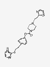 O=C(Oc1ccc(CCSc2ncc[nH]2)cc1)N1CCN(CCc2nccs2)CC1